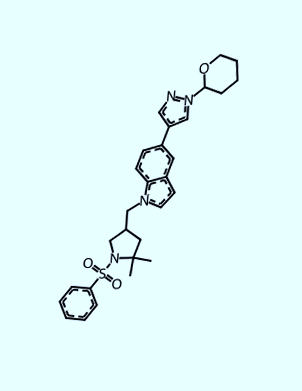 CC1(C)CC(Cn2ccc3cc(-c4cnn(C5CCCCO5)c4)ccc32)CN1S(=O)(=O)c1ccccc1